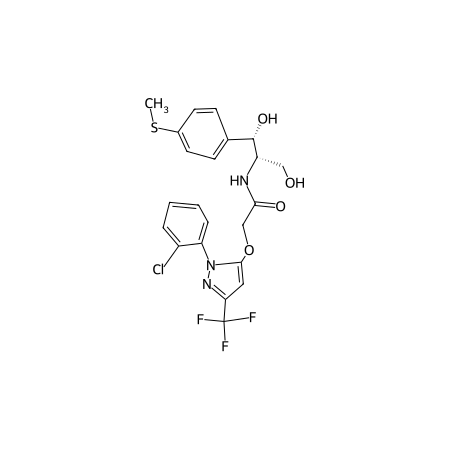 CSc1ccc([C@H](O)[C@H](CO)NC(=O)COc2cc(C(F)(F)F)nn2-c2ccccc2Cl)cc1